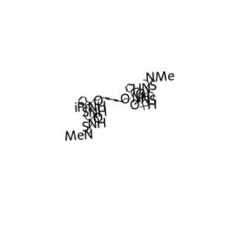 CNCC(=S)N[C@H]1CCSC(N[C@H](COCC#CC#CCOC[C@@H](NC(=O)[C@H]2N3C(=O)[C@@H](NC(=S)[C@H](C)NC)CCS[C@H]3CC2(C)C)c2ccccc2)c2ccccc2)(C(C)C)NC1=O